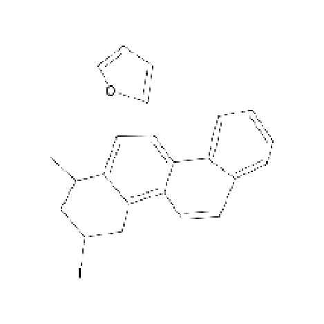 CC1CC(I)Cc2c1ccc1c2ccc2ccccc21.c1ccoc1